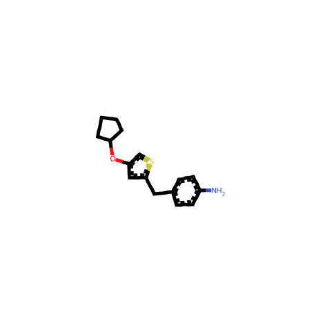 Nc1ccc(Cc2cc(OC3CCCC3)cs2)cc1